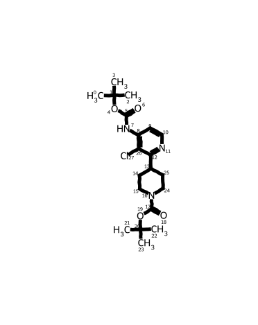 CC(C)(C)OC(=O)Nc1ccnc(C2CCN(C(=O)OC(C)(C)C)CC2)c1Cl